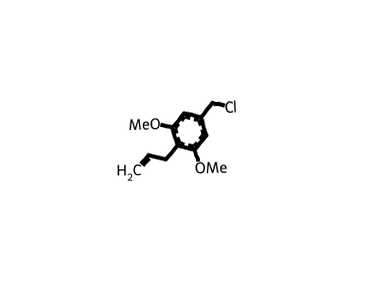 C=CCc1c(OC)cc(CCl)cc1OC